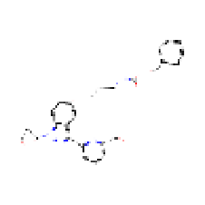 O=C(NCCCOc1ccc2c(c1)c(-c1cccc(CO)n1)nn2C1CCO1)OCc1ccccc1